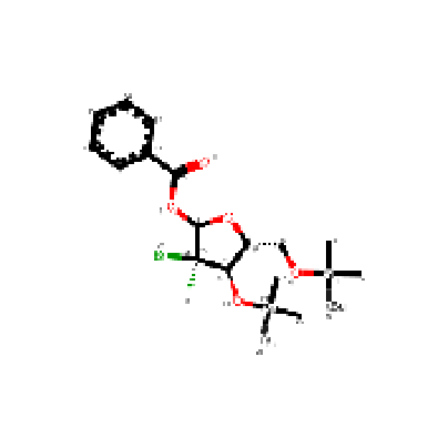 CC(C)(C)[Si](C)(C)OC[C@H]1OC(OC(=O)c2ccccc2)[C@](F)(Br)[C@@H]1O[Si](C)(C)C(C)(C)C